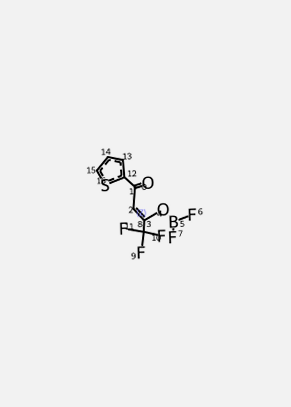 O=C(/C=C(\OB(F)F)C(F)(F)F)c1cccs1